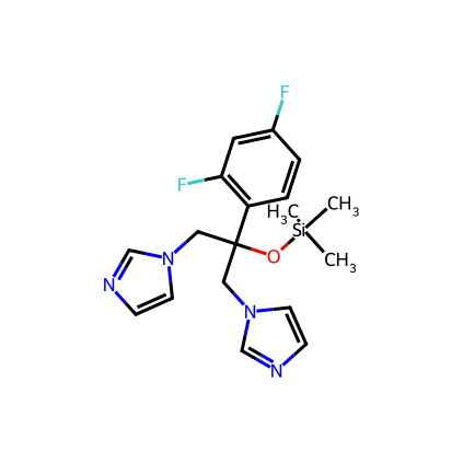 C[Si](C)(C)OC(Cn1ccnc1)(Cn1ccnc1)c1ccc(F)cc1F